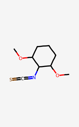 COC1CCCC(OC)C1N=C=S